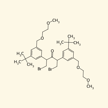 COCCOCc1cc(C(CBr)C(=O)C(CBr)c2cc(COCCOC)cc(C(C)(C)C)c2)cc(C(C)(C)C)c1